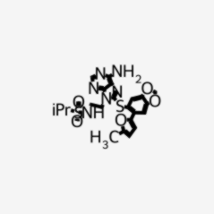 Cc1ccc(-c2cc3c(cc2Sc2nc4c(N)ncnc4n2CCNS(=O)(=O)C(C)C)OCO3)o1